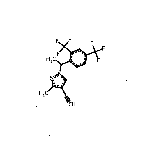 C#Cc1cn(C(C)c2ccc(C(F)(F)F)cc2C(F)(F)F)nc1C